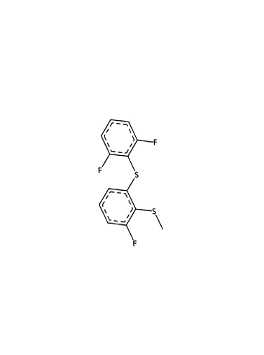 CSc1c(F)cccc1Sc1c(F)cccc1F